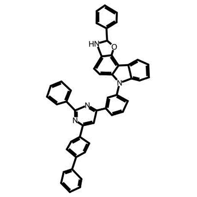 c1ccc(-c2ccc(-c3cc(-c4cccc(-n5c6ccccc6c6c7c(ccc65)NC(c5ccccc5)O7)c4)nc(-c4ccccc4)n3)cc2)cc1